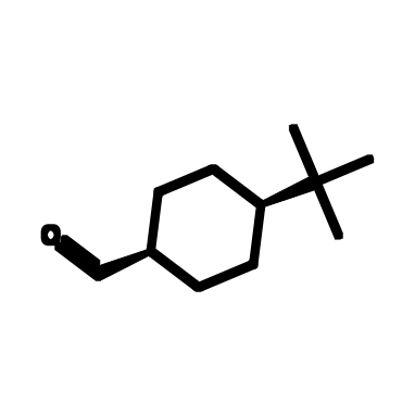 CC(C)(C)[C@H]1CC[C@@H](C=O)CC1